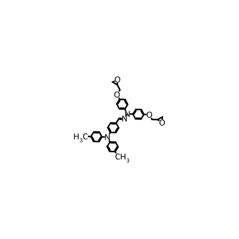 Cc1ccc(N(c2ccc(C)cc2)c2ccc(C=NN(c3ccc(OCC4CO4)cc3)c3ccc(OCC4CO4)cc3)cc2)cc1